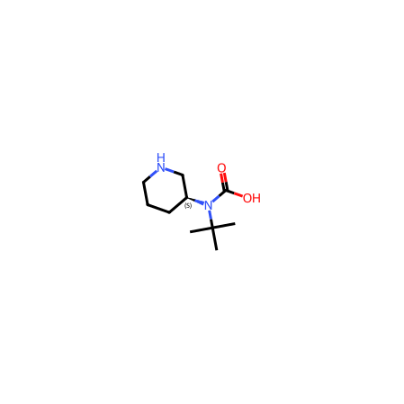 CC(C)(C)N(C(=O)O)[C@H]1CCCNC1